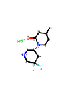 CC1CCN([C@H]2CNCC(F)(F)C2)C(=O)C1.Cl